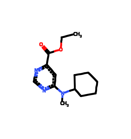 CCOC(=O)c1cc(N(C)C2CCCCC2)ncn1